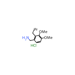 COc1ccc(CN)c(CC(C)C)c1OC.Cl